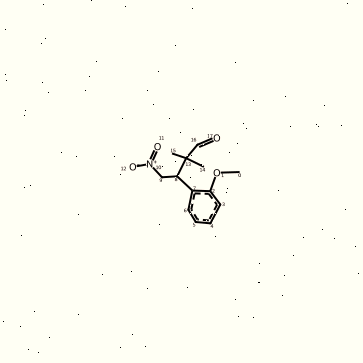 COc1ccccc1C(C[N+](=O)[O-])C(C)(C)C=O